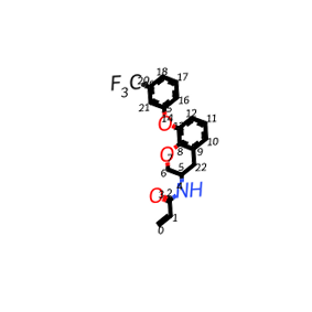 C=CC(=O)NC1COc2c(cccc2Oc2cccc(C(F)(F)F)c2)C1